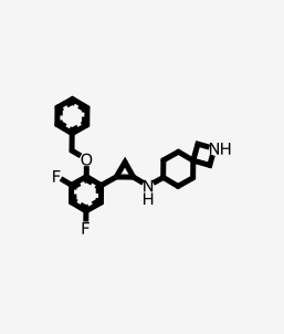 Fc1cc(F)c(OCc2ccccc2)c(C2CC2NC2CCC3(CC2)CNC3)c1